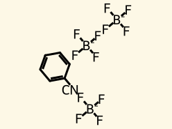 F[B-](F)(F)F.F[B-](F)(F)F.F[B-](F)(F)F.N#Cc1ccccc1